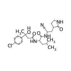 CC(C)CC(NC(=O)CC(C)(O)c1ccc(Cl)cc1)C(=O)NC(C#N)CC1CCNC1=O